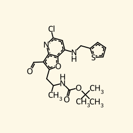 CC(Cc1oc2c(NCc3cccs3)cc(Cl)nc2c1C=O)NC(=O)OC(C)(C)C